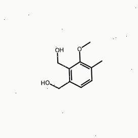 COc1c(C)ccc(CO)c1CO